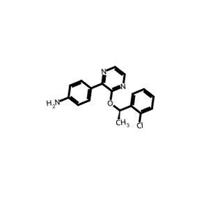 C[C@@H](Oc1nccnc1-c1ccc(N)cc1)c1ccccc1Cl